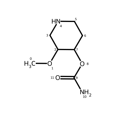 COC1CNCCC1OC(N)=O